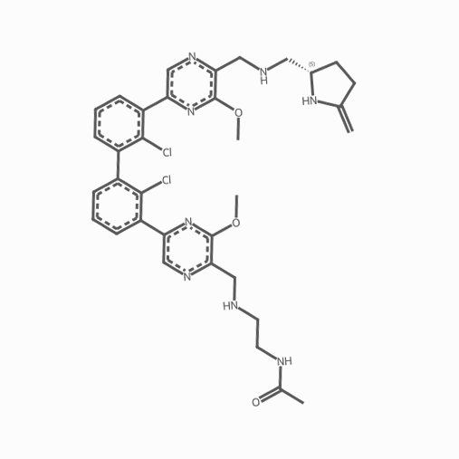 C=C1CC[C@@H](CNCc2ncc(-c3cccc(-c4cccc(-c5cnc(CNCCNC(C)=O)c(OC)n5)c4Cl)c3Cl)nc2OC)N1